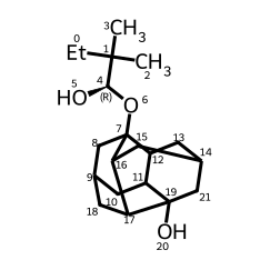 CCC(C)(C)[C@H](O)OC12CC3CC4C1CC1CC2C(C3)C4(O)C1